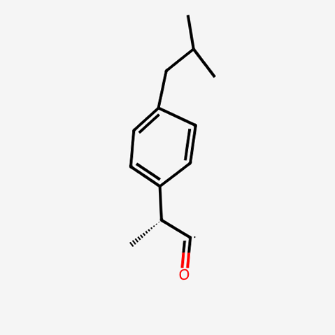 CC(C)Cc1ccc([C@@H](C)[C]=O)cc1